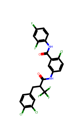 O=C(Nc1ccc(F)cc1F)c1cc(NC(=O)C(Cc2ccc(Cl)c(Cl)c2)C(F)(F)F)ccc1Cl